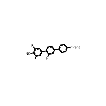 CCCCCc1ccc(-c2ccc(-c3cc(F)c(C#N)c(F)c3)c(F)c2)cc1